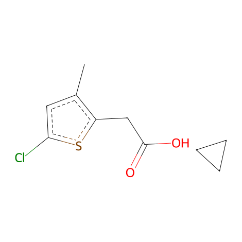 C1CC1.Cc1cc(Cl)sc1CC(=O)O